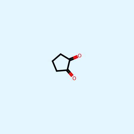 O=C1CCCC1=O